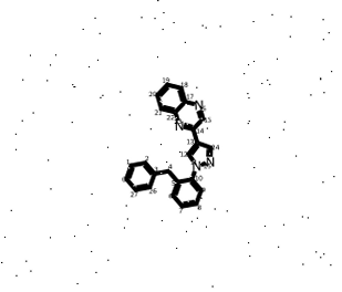 c1ccc(Cc2ccccc2-n2cc(-c3cnc4ccccc4n3)cn2)cc1